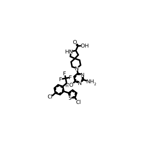 Nc1nc(O[C@H](c2ccc(Cl)cc2-c2ccc(Cl)s2)C(F)(F)F)cc(N2CCC3(CC2)CNC(C(=O)O)C3)n1